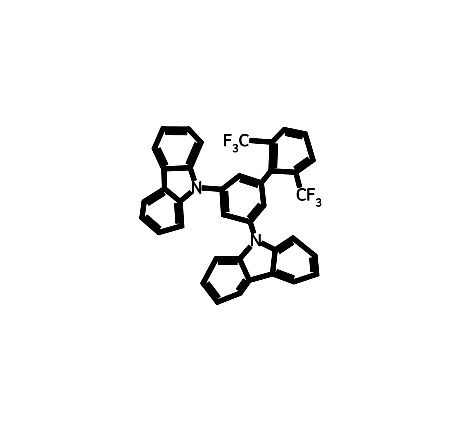 FC(F)(F)c1cccc(C(F)(F)F)c1-c1cc(-n2c3ccccc3c3ccccc32)cc(-n2c3ccccc3c3ccccc32)c1